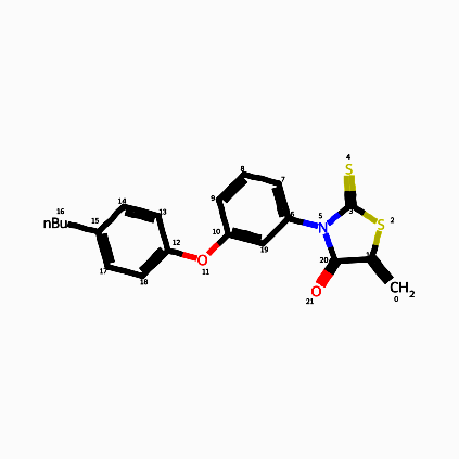 C=C1SC(=S)N(c2cccc(Oc3ccc(CCCC)cc3)c2)C1=O